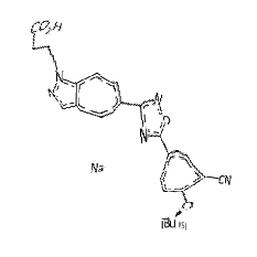 CC[C@H](C)Oc1ccc(-c2nc(-c3ccc4c(cnn4CCC(=O)O)c3)no2)cc1C#N.[Na]